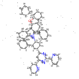 c1ccc(-c2cc(-c3cc(-c4ccccn4)nc(-c4ccccn4)n3)cc(-c3ccccc3)c2-n2c3ccccc3c3c4oc5c(-c6ccccc6)cccc5c4ccc32)cc1